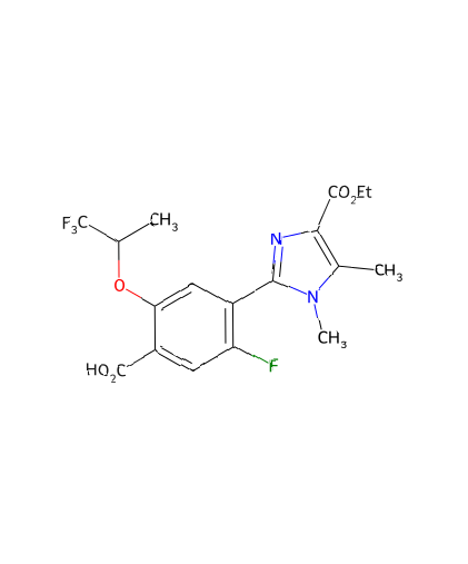 CCOC(=O)c1nc(-c2cc(OC(C)C(F)(F)F)c(C(=O)O)cc2F)n(C)c1C